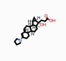 C[C@]12CC[C@H]3[C@@H](CC=C4C=C(N5CCCC5)CC[C@@H]43)[C@@H]1[C@H]1C[C@H]1[C@@]2(O)CCC(=O)O